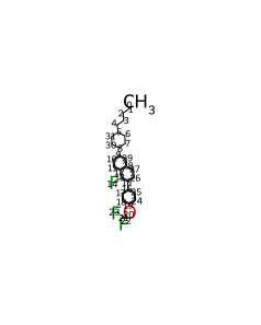 CCCCC[C@H]1CC[C@H](c2ccc3c(F)c(-c4ccc(OC(F)F)cc4)ccc3c2)CC1